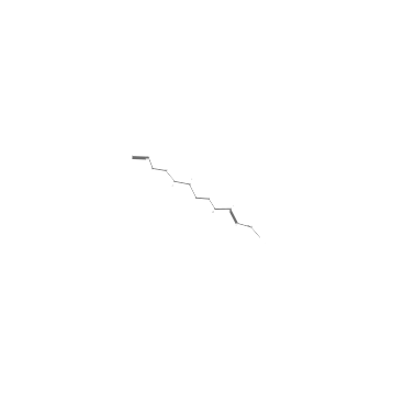 [CH]=CCCCCCCCC=CCC